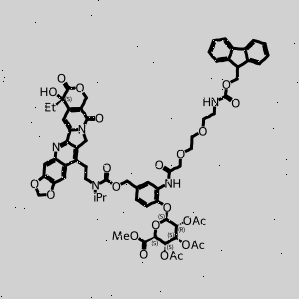 CC[C@@]1(O)C(=O)OCc2c1cc1n(c2=O)Cc2c-1nc1cc3c(cc1c2CCN(C(=O)OCc1ccc(O[C@@H]2O[C@H](C(=O)OC)[C@@H](OC(C)=O)[C@H](OC(C)=O)[C@H]2OC(C)=O)c(NC(=O)COCCOCCNC(=O)OCC2c4ccccc4-c4ccccc42)c1)C(C)C)OCO3